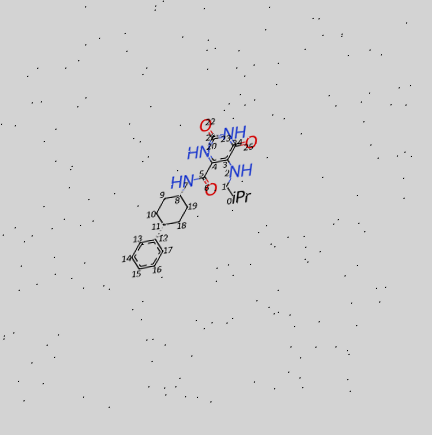 CC(C)CNc1c(C(=O)N[C@H]2CC[C@@H](c3ccccc3)CC2)[nH]c(=O)[nH]c1=O